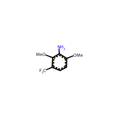 COc1ccc(C(F)(F)F)c(OC)c1N